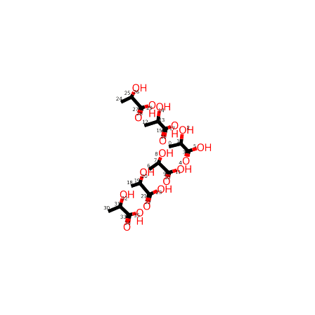 CC(O)C(=O)O.CC(O)C(=O)O.CC(O)C(=O)O.CC(O)C(=O)O.CC(O)C(=O)O.CC(O)C(=O)O